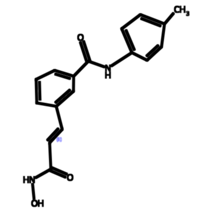 Cc1ccc(NC(=O)c2cccc(/C=C/C(=O)NO)c2)cc1